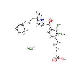 CC(C)(CCCc1ccccc1)NC[C@@H](O)c1ccc(CCCCC(=O)O)c(F)c1F.Cl